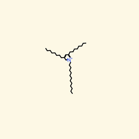 CCCCCCCCCCCCC[n+]1cc(CCCCCCCC)cc(CCCCCCCC)c1